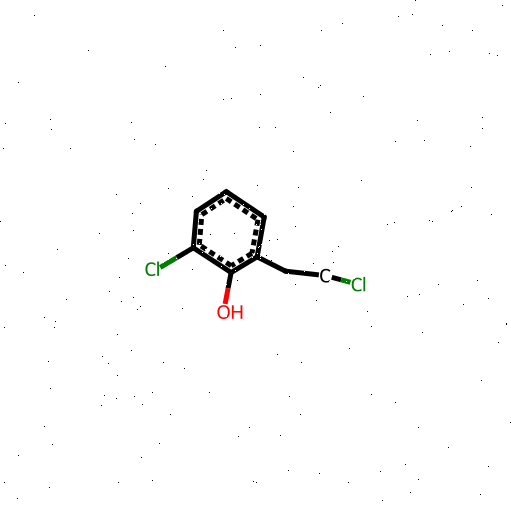 Oc1c(Cl)cccc1CCCl